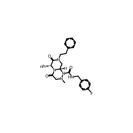 CCC[C@H]1C(=O)N(CCc2ccccc2)C[C@H]2N1C(=O)CN(C)N2C(=O)NCc1ccc(F)cc1